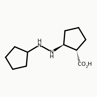 O=C(O)[C@H]1CCC[C@@H]1NNC1CCCC1